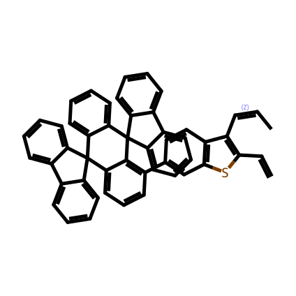 C=Cc1sc2cc(-c3cccc4c3C3(c5ccccc5-c5ccccc53)c3ccccc3C43c4ccccc4-c4ccccc43)ccc2c1/C=C\C